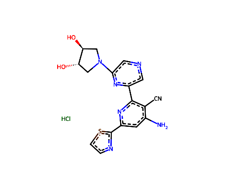 Cl.N#Cc1c(N)cc(-c2nccs2)nc1-c1cncc(N2C[C@H](O)[C@@H](O)C2)n1